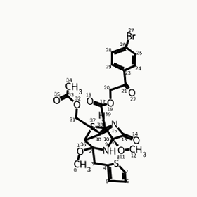 COC1(Cc2cccs2)N[C@@]2(OC)C(=O)N3C(C(=O)OCC(=O)c4ccc(Br)cc4)=C(COC(C)=O)C1S[C@H]32